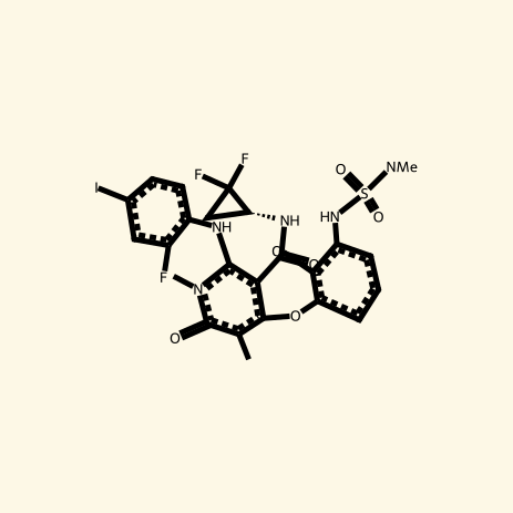 CNS(=O)(=O)Nc1cccc(Oc2c(C(=O)N[C@@H]3CC3(F)F)c(Nc3ccc(I)cc3F)n(C)c(=O)c2C)c1Cl